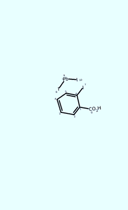 O=C(O)c1ccccc1I.[I][Pb][I]